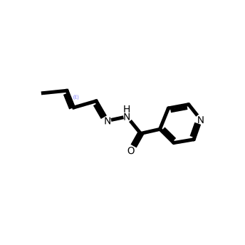 C/C=C/C=NNC(=O)c1ccncc1